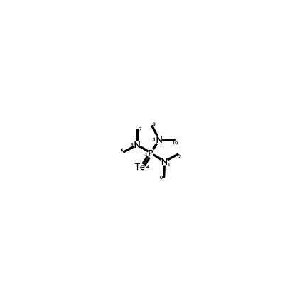 CN(C)P(=[Te])(N(C)C)N(C)C